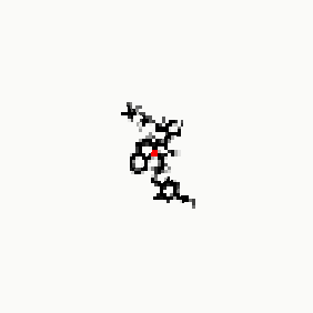 CC(C)(C)OC(=O)Nc1nc2cc(C(=O)N(Cc3c(F)cc(C#N)cc3F)[C@@H]3CCCc4cccnc43)[nH]c2c2c1COC2